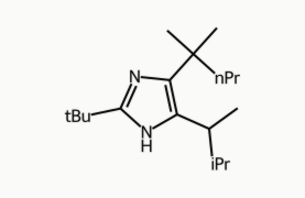 CCCC(C)(C)c1nc(C(C)(C)C)[nH]c1C(C)C(C)C